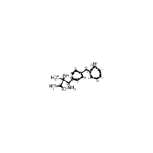 CC(N)(C(N)=O)C(N)c1ccc(Cc2ccccc2Br)cc1